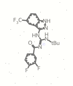 CC(C)(C)N/C(=N/C(=O)c1ccc(F)c(F)c1)Nc1n[nH]c2ccc(C(F)(F)F)cc12